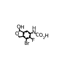 O=C(O)Nc1cc2c(c(Br)c1F)COC2O